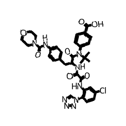 CC(C)(C)N(C(=O)C(Cc1ccc(NC(=O)N2CCOCC2)cc1)NC(=O)C(=O)Nc1cc(Cl)ccc1-n1cnnn1)c1ccc(C(=O)O)cc1